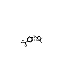 COC(=O)c1ccc(Sc2cnc(C)[nH]2)cc1